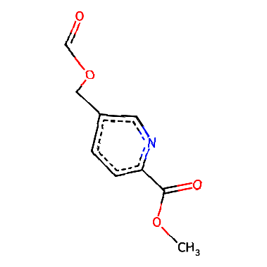 COC(=O)c1ccc(COC=O)cn1